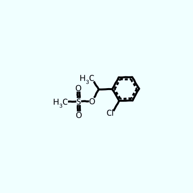 CC(OS(C)(=O)=O)c1ccccc1Cl